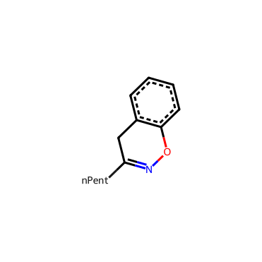 CCCCCC1=NOc2ccccc2C1